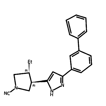 CC[C@H]1CN(C#N)C[C@@H]1c1cc(-c2cccc(-c3ccccc3)c2)n[nH]1